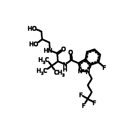 CC(C)(C)C(NC(=O)c1nn(CCCC(F)(F)F)c2c(F)cccc12)C(=O)NCC(O)CO